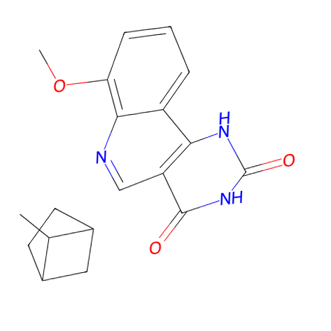 CC1C2CCC1C2.COc1cccc2c1ncc1c(=O)[nH]c(=O)[nH]c12